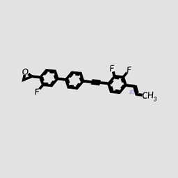 C/C=C/c1ccc(C#Cc2ccc(-c3ccc(C4CO4)c(F)c3)cc2)c(F)c1F